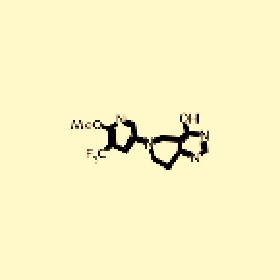 COc1ncc(N2CCc3ncnc(O)c3C2)cc1C(F)(F)F